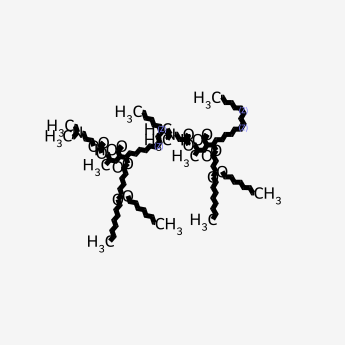 CCCCC/C=C\C/C=C\CCCCCC(OC(=O)CCC(OCCCCCCCC)OCCCCCCCC)C(CC(C)COC(=O)CCN(C)C)C(=O)O.CCCCC/C=C\C/C=C\CCCCCC(OC(=O)CCCCC(OCCCCCCCC)OCCCCCCCC)C(CC(C)COC(=O)OCCCN(CC)CC)C(=O)O